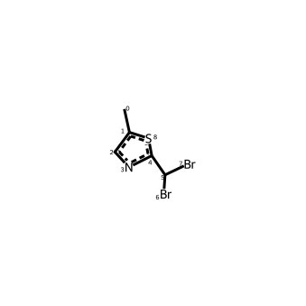 Cc1cnc(C(Br)Br)s1